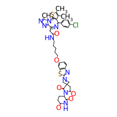 Cc1sc2c(c1C)C(c1ccc(Cl)cc1)=N[C@@H](CC(=O)NCCCCCOc1ccc3nc(N4CC5(CC(=O)N(C6CCC(=O)NC6=O)C5=O)C4)sc3c1)c1nnc(C)n1-2